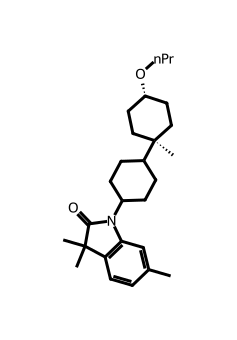 CCCO[C@H]1CC[C@](C)(C2CCC(N3C(=O)C(C)(C)c4ccc(C)cc43)CC2)CC1